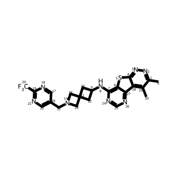 Cc1nnc2sc3c(NC4CC5(C4)CN(Cc4cnc(C(F)(F)F)nc4)C5)ncnc3c2c1C